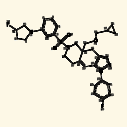 O=S(=O)(c1cccc(N2CCC(F)C2)c1)N1CCC2=Cc3c(cnn3-c3ccc(F)cc3)CC2(COCC2CC2)C1